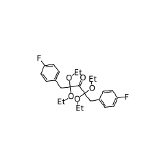 CCOC(Cc1ccc(F)cc1)(OCC)C(=O)C(Cc1ccc(F)cc1)(OCC)OCC